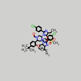 CCOc1cc(C(C)(C)C)ccc1C1C[N@+](CCCS(C)(=O)=O)(N2C(c3ccc(Cl)cc3)=NC(CC)C2CC)[C@@H](N2C(c3ccc(Cl)cc3)=NC(CC)C2CC)CN1C=O